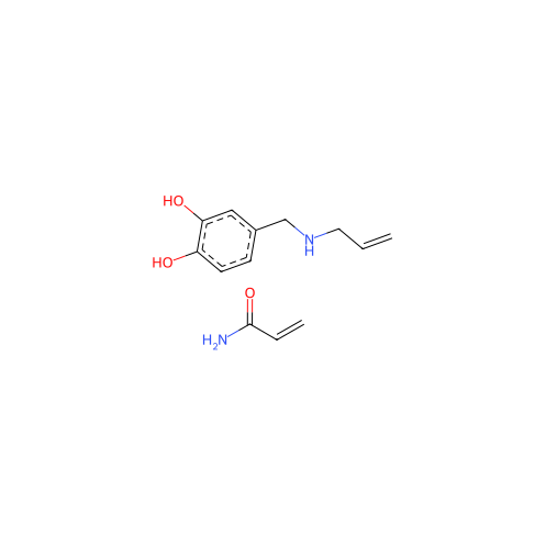 C=CC(N)=O.C=CCNCc1ccc(O)c(O)c1